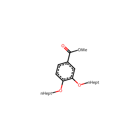 CCCCCCCOc1ccc(C(=O)OC)cc1OCCCCCCC